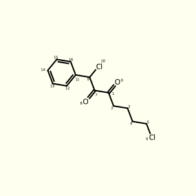 O=C(CCCCCl)C(=O)C(Cl)c1ccccc1